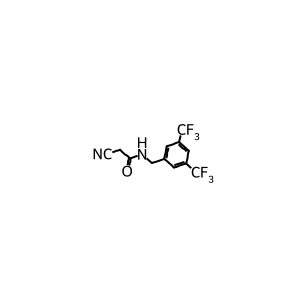 N#CCC(=O)NCc1cc(C(F)(F)F)cc(C(F)(F)F)c1